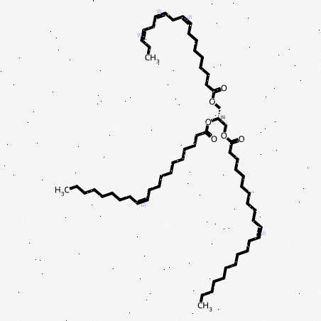 CC/C=C\C/C=C\C/C=C\CCCCCCCC(=O)OC[C@H](COC(=O)CCCCCCCCC/C=C\CCCCCCCCCC)OC(=O)CCCCCCCCC/C=C\CCCCCCCC